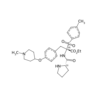 CCOC(=O)[C@](Cc1ccc(OC2CCN(C)CC2)cc1)(NC(=O)[C@@H]1CCCN1)S(=O)(=O)c1ccc(C)cc1